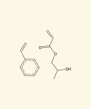 C=CC(=O)OCC(C)O.C=Cc1ccccc1